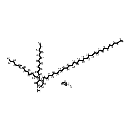 CC.CCCCCCCCCCCCCCCCCCCCCCCCCCCCCCCCN1CCNCC1N(CCCCCCCCCCCC)CCCCCCCCCCCC.N